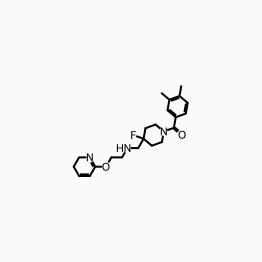 Cc1ccc(C(=O)N2CCC(F)(CNCCOC3=NCCC=C3)CC2)cc1C